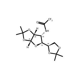 CC1(C)O[C@H]2O[C@H]([C@H]3COC(C)(C)O3)[C@@H](NC(=O)C(F)(F)F)[C@H]2O1